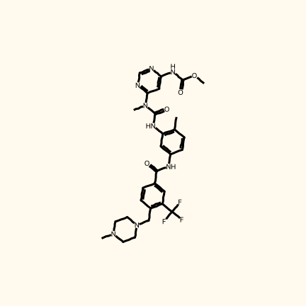 COC(=O)Nc1cc(N(C)C(=O)Nc2cc(NC(=O)c3ccc(CN4CCN(C)CC4)c(C(F)(F)F)c3)ccc2C)ncn1